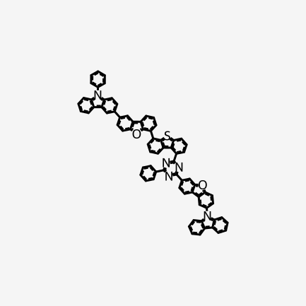 c1ccc(-c2nc(-c3ccc4c(c3)oc3ccc(-n5c6ccccc6c6ccccc65)cc34)nc(-c3cccc4sc5c(-c6cccc7c6oc6ccc(-c8ccc9c(c8)c8ccccc8n9-c8ccccc8)cc67)cccc5c34)n2)cc1